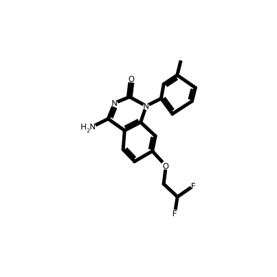 Cc1cccc(-n2c(=O)nc(N)c3ccc(OCC(F)F)cc32)c1